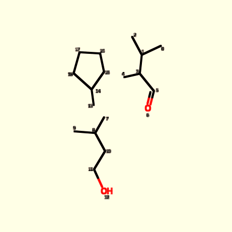 CC(C)C(C)C=O.CC(C)CCO.CC1CCCC1